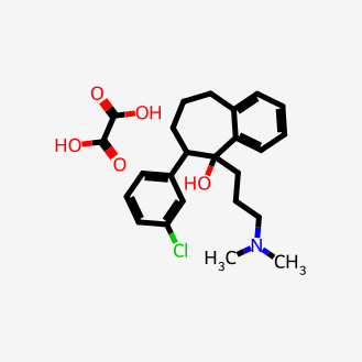 CN(C)CCCC1(O)c2ccccc2CCCC1c1cccc(Cl)c1.O=C(O)C(=O)O